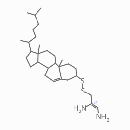 CC(C)CCCC(C)C1CCC2C3CC=C4CC(SSC/C(N)=C/N)CCC4(C)C3CCC12C